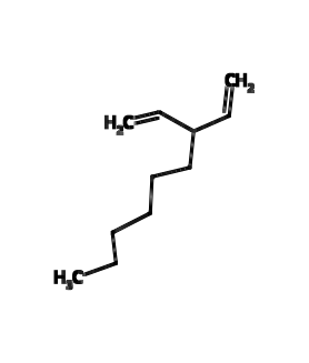 C=CC(C=C)CCCCCC